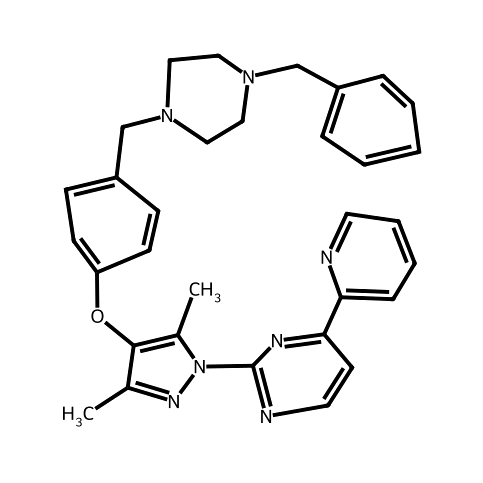 Cc1nn(-c2nccc(-c3ccccn3)n2)c(C)c1Oc1ccc(CN2CCN(Cc3ccccc3)CC2)cc1